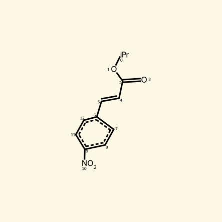 CC(C)OC(=O)C=Cc1ccc([N+](=O)[O-])cc1